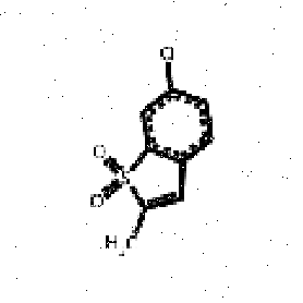 CC1=Cc2ccc(Cl)cc2S1(=O)=O